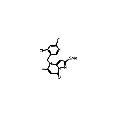 CSc1cc2n(Cc3cnc(Cl)cc3Cl)c(C)cc(=O)n2n1